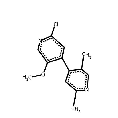 COc1cnc(Cl)cc1-c1cc(C)ncc1C